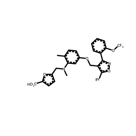 Cc1ccc(OCc2c(-c3ccccc3OC(F)(F)F)noc2C(C)C)cc1N(C)Cc1ccc(C(=O)O)o1